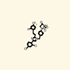 O=C1CN(c2ccc(Cn3cc(-c4ccc(Cl)cc4Cl)nc3C=Cc3ccc(C(F)(F)F)cc3F)cc2)S(=O)(=O)N1